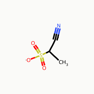 CC(C#N)S([O])(=O)=O